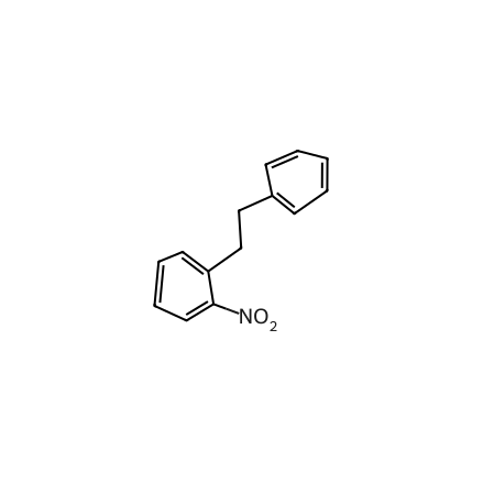 O=[N+]([O-])c1ccccc1CCc1ccccc1